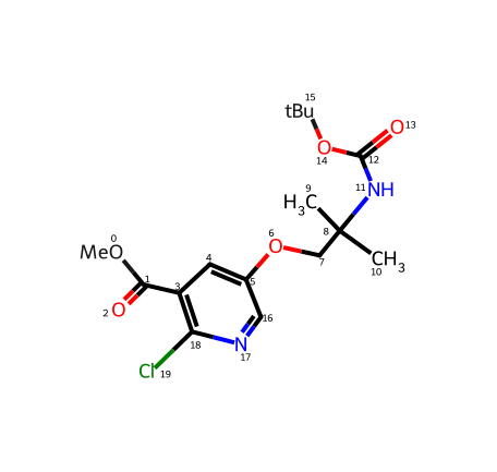 COC(=O)c1cc(OCC(C)(C)NC(=O)OC(C)(C)C)cnc1Cl